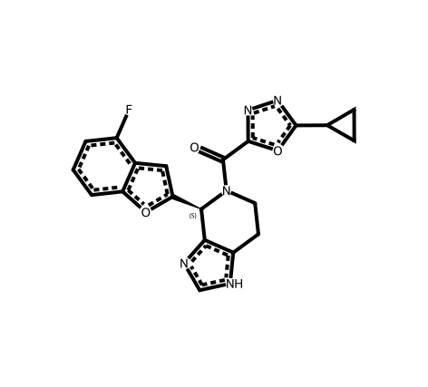 O=C(c1nnc(C2CC2)o1)N1CCc2[nH]cnc2[C@H]1c1cc2c(F)cccc2o1